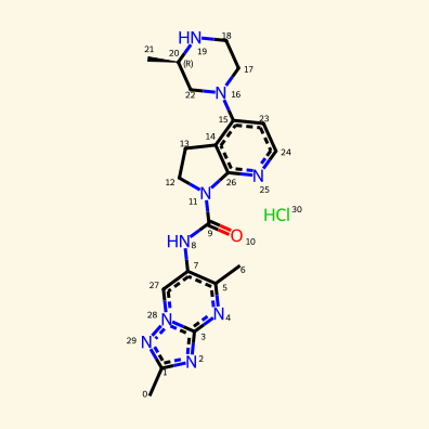 Cc1nc2nc(C)c(NC(=O)N3CCc4c(N5CCN[C@H](C)C5)ccnc43)cn2n1.Cl